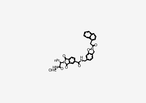 CCCC(C(=O)NC=O)N1C(=O)c2ccc(C(=O)NCc3ccc4c(c3)ON(C(=O)Cc3cccc5ccccc35)C4)cc2C1=O